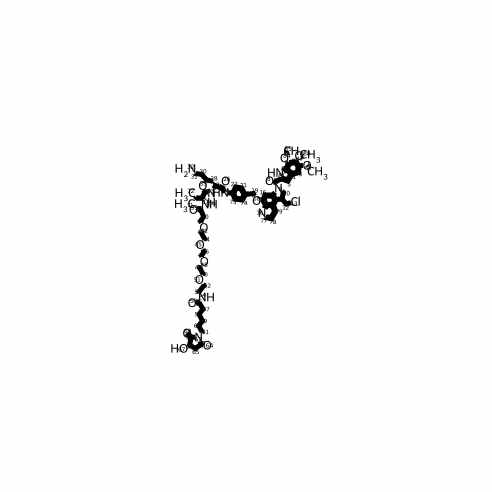 COc1cc2cc(C(=O)N3CC(CCl)c4c3cc(OCc3ccc(NC(=O)[C@H](CCCCN)NC(=O)C(NC(=O)CCOCCOCCOCCOCCNC(=O)CCCCCN5C(=O)CC(O)C5=O)C(C)C)cc3)c3ncccc43)[nH]c2c(OC)c1OC